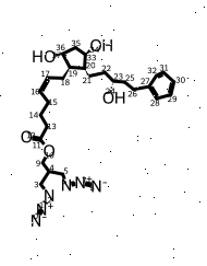 [N-]=[N+]=NCC(CN=[N+]=[N-])COC(=O)CCC/C=C\C[C@@H]1[C@@H](CC[C@@H](O)CCc2ccccc2)[C@H](O)C[C@@H]1O